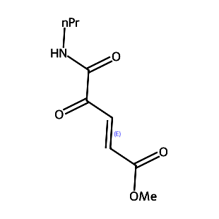 CCCNC(=O)C(=O)/C=C/C(=O)OC